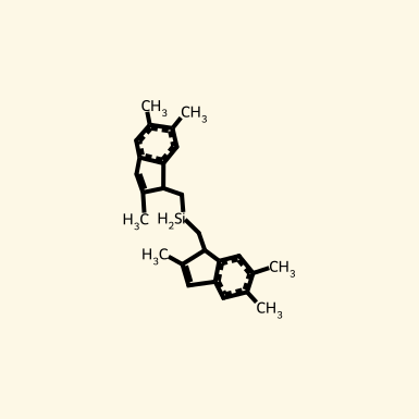 CC1=Cc2cc(C)c(C)cc2C1C[SiH2]CC1C(C)=Cc2cc(C)c(C)cc21